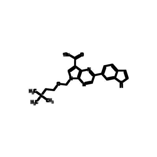 CC(C)(C)C(=O)c1cn(COCC[Si](C)(C)C)c2ncc(-c3ccc4cc[nH]c4c3)nc12